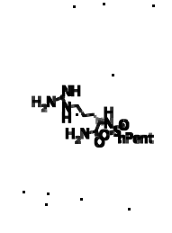 CCCCCS(=O)(=O)N[C@@H](CCCNC(=N)N)C(N)=O